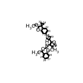 COC(=O)C1(c2ccc(N3CC(c4onc(C)c4NC(=O)O[C@H](C)c4ccccc4)C3)cc2)CC1